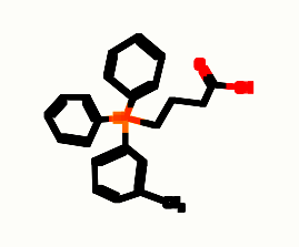 Cc1cccc([PH](CCCC(=O)O)(c2ccccc2)c2ccccc2)c1